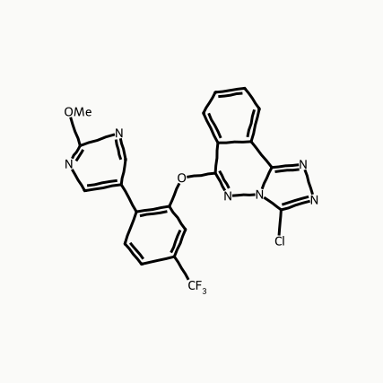 COc1ncc(-c2ccc(C(F)(F)F)cc2Oc2nn3c(Cl)nnc3c3ccccc23)cn1